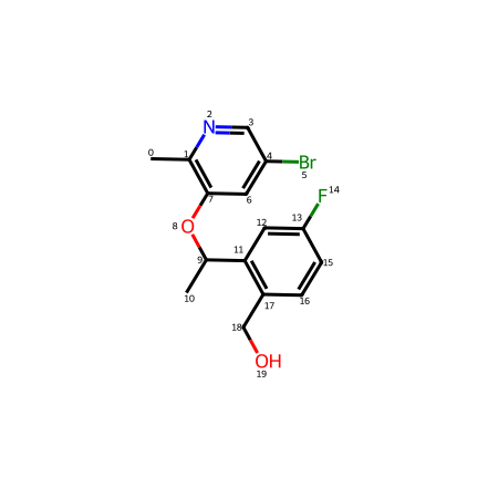 Cc1ncc(Br)cc1OC(C)c1cc(F)ccc1CO